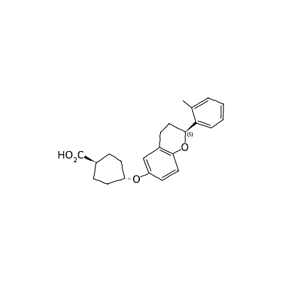 Cc1ccccc1[C@@H]1CCc2cc(O[C@H]3CC[C@H](C(=O)O)CC3)ccc2O1